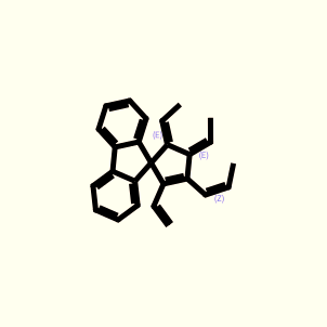 C=CC1=C(/C=C\C)C(=C/C)/C(=C\C)C12c1ccccc1-c1ccccc12